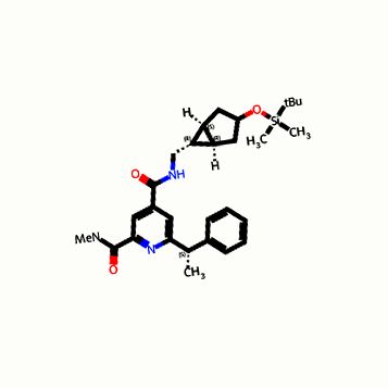 CNC(=O)c1cc(C(=O)NC[C@@H]2[C@H]3CC(O[Si](C)(C)C(C)(C)C)C[C@@H]23)cc([C@@H](C)c2ccccc2)n1